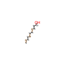 CSCCSCCSCCCO